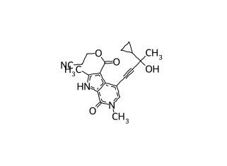 Cc1[nH]c2c(=O)n(C)cc(C#CC(C)(O)C3CC3)c2c1C(=O)OCCC#N